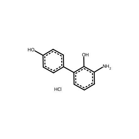 Cl.Nc1cccc(-c2ccc(O)cc2)c1O